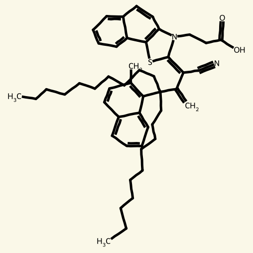 C=C(/C(C#N)=C1\Sc2c(ccc3ccccc23)N1CCC(=O)O)C(CCCCCCCCCC)(CCCCCCCCCC)c1c(C)ccc2ccccc12